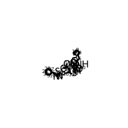 COC1(NC(=O)Cc2cccs2)C(=O)N2C(C(=O)O)=C(CSc3nnc(-c4ccccc4)s3)CS[C@@H]21